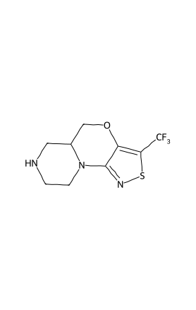 FC(F)(F)c1snc2c1OCC1CNCCN21